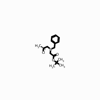 C[C@H](Cl)CN(CC(=O)OC(C)(C)C)Cc1ccccc1